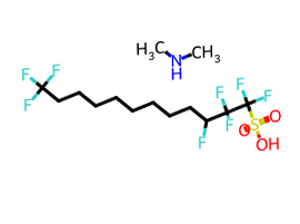 CNC.O=S(=O)(O)C(F)(F)C(F)(F)C(F)CCCCCCCCC(F)(F)F